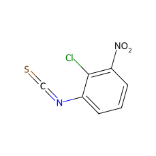 O=[N+]([O-])c1cccc(N=C=S)c1Cl